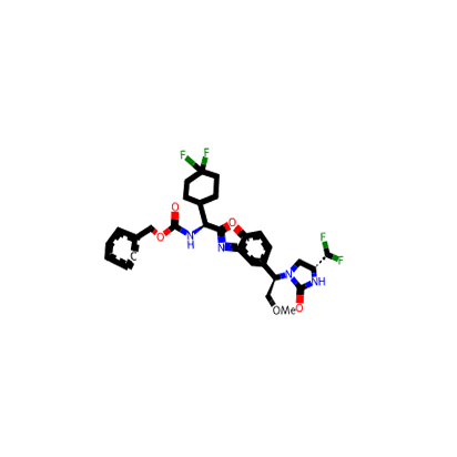 COC[C@@H](c1ccc2oc([C@@H](NC(=O)OCc3ccccc3)C3CCC(F)(F)CC3)nc2c1)N1C[C@H](C(F)F)NC1=O